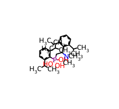 CC(C)c1cccc(C(C)C)c1C(CP(O)(O)(O)c1c(C(C)C)cccc1C(C)C)N(C)C